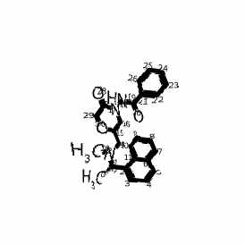 C[C@H](c1cccc2ccccc12)N(C)CC1CN(NC(=O)c2ccccc2)C(=O)CO1